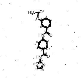 CC(=O)Oc1cccc(C(=O)Nc2ccc(C(=O)Nc3nccs3)cc2)c1